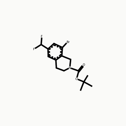 CC(C)(C)OC(=O)N1CCc2cc(C(F)F)cc(Br)c2C1